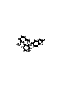 Cc1cc2cc(OCC3C=CC=C(O)N3C3CCNCC3(F)F)ccc2o1